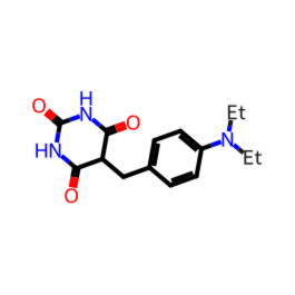 CCN(CC)c1ccc(CC2C(=O)NC(=O)NC2=O)cc1